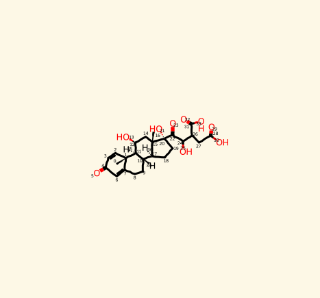 C[C@]12C=CC(=O)C=C1CC[C@@H]1[C@@H]2[C@@H](O)C[C@@]2(C)[C@H]1CC[C@]2(O)C(=O)C(O)C(CC(=O)O)C(=O)O